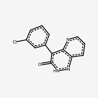 O=c1[nH]nc2cccnc2c1-c1cccc(Cl)c1